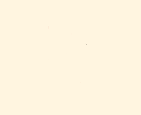 [O-][S+]1N=CC2=C(C(=S)CC=C2)c2cccc(C(F)(F)F)c21